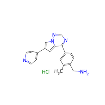 Cc1cc(-c2ncnn3cc(-c4ccncc4)cc23)ccc1CN.Cl